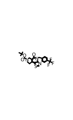 CC(C)(C)OC(=O)N1CCc2c(c(=O)n(Cc3ccc(C(F)(F)F)cc3)c3ncsc23)C1